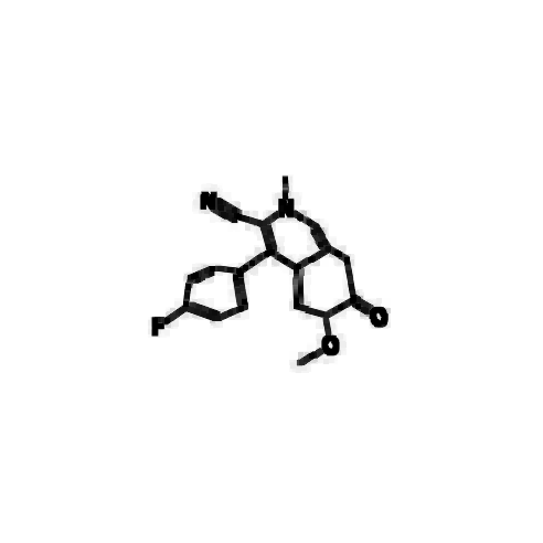 COC1C=C2C(=CN(C)C(C#N)=C2c2ccc(F)cc2)CC1=O